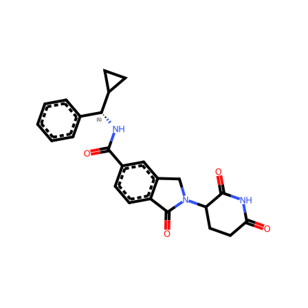 O=C1CCC(N2Cc3cc(C(=O)N[C@H](c4ccccc4)C4CC4)ccc3C2=O)C(=O)N1